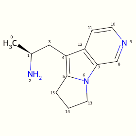 C[C@H](N)Cc1c2n(c3cnccc13)CCC2